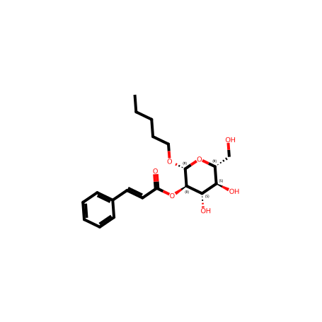 CCCCCO[C@@H]1O[C@H](CO)[C@@H](O)[C@H](O)[C@H]1OC(=O)C=Cc1ccccc1